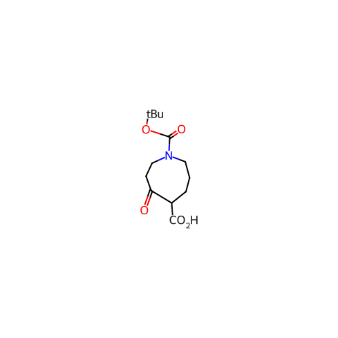 CC(C)(C)OC(=O)N1CCCC(C(=O)O)C(=O)CC1